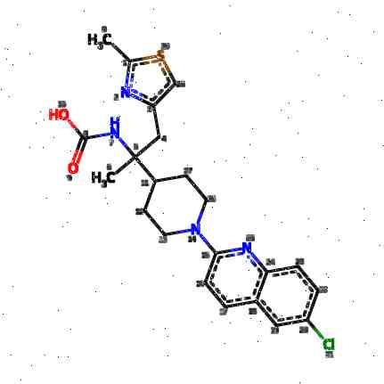 Cc1nc(CC(C)(NC(=O)O)C2CCN(c3ccc4cc(Cl)ccc4n3)CC2)cs1